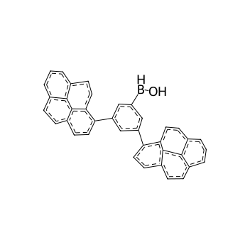 OBc1cc(-c2ccc3ccc4cccc5ccc2c3c45)cc(-c2ccc3ccc4cccc5ccc2c3c45)c1